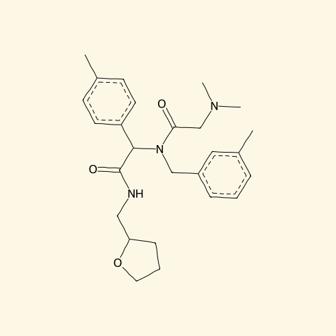 Cc1ccc(C(C(=O)NCC2CCCO2)N(Cc2cccc(C)c2)C(=O)CN(C)C)cc1